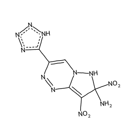 NC1([N+](=O)[O-])NN2C=C(c3nnn[nH]3)N=NC2=C1[N+](=O)[O-]